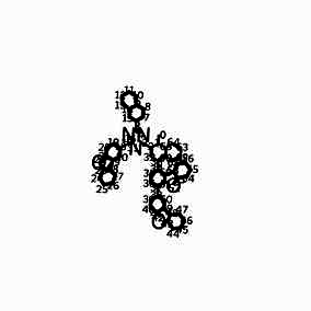 CC1C(c2nc(-c3ccc4ccccc4c3)nc(-c3ccc4oc5ccccc5c4c3)n2)=CC(c2ccc(-c3ccc4oc5ccccc5c4c3)c3oc4ccccc4c23)=C2C=CC=CC21